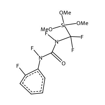 CO[Si](OC)(OC)C(F)(F)N(F)C(=O)N(F)c1ccccc1F